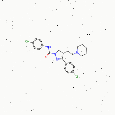 O=C(Nc1ccc(Cl)cc1)N1CC(CCN2CCCCC2)C(c2ccc(Cl)cc2)=N1